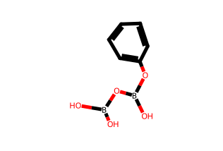 OB(O)OB(O)Oc1ccccc1